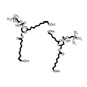 CCCCCCCC/C=C\CCCCCCCC(=O)OC[C@H](COP(=O)(O)OCC[N+](C)(C)C)OC(=O)CCCCCCC/C=C\CCCCCCCC.CCCCCCCCCCCCCCCCCC(=O)OCC(COP(=O)(O)OCC[N+](C)(C)C)OC(=O)CCCCCCCCCCCCCCC